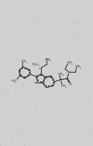 CCN(CC)C(=O)C(C)(C)c1ccc2[nH]c(-c3cc(C)cc(C)c3)c([C@H](C)CN)c2c1